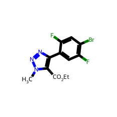 CCOC(=O)c1c(-c2cc(F)c(Br)cc2F)nnn1C